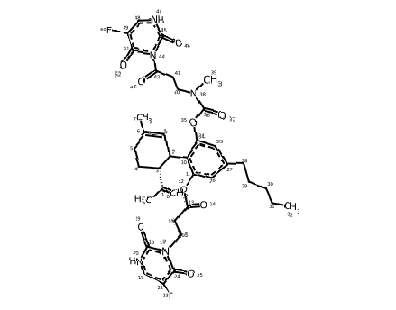 C=C(C)[C@@H]1CCC(C)=CC1c1c(OC(=O)CCn2c(=O)[nH]cc(F)c2=O)cc(CCCCC)cc1OC(=O)N(C)CCC(=O)n1c(=O)[nH]cc(F)c1=O